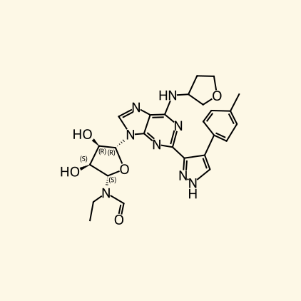 CCN(C=O)[C@H]1O[C@@H](n2cnc3c(NC4CCOC4)nc(-c4n[nH]cc4-c4ccc(C)cc4)nc32)[C@H](O)[C@@H]1O